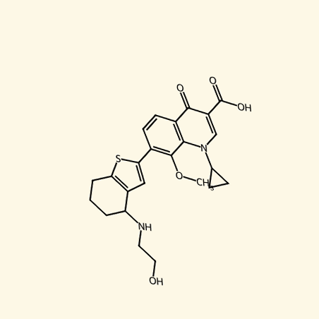 COc1c(-c2cc3c(s2)CCCC3NCCO)ccc2c(=O)c(C(=O)O)cn(C3CC3)c12